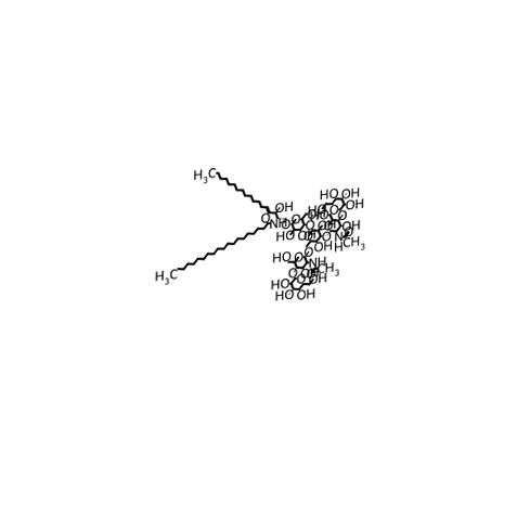 CCCCCCCCCCCCC/C=C/[C@@H](O)[C@H](CO[C@@H]1OC(CO)[C@@H](O[C@@H]2OC(CO[C@@H]3OC(CO)[C@@H](O[C@@H]4OC(CO)[C@H](O)[C@H](O)C4O)[C@H](O)C3NC(C)=O)[C@H](O)[C@H](O[C@@H]3OC(CO)[C@@H](O[C@@H]4OC(CO)[C@H](O)[C@H](O)C4O)[C@H](O)C3NC(C)=O)C2O)[C@H](O)C1O)NC(=O)CCCCCCCCCCCCCCCCCCC